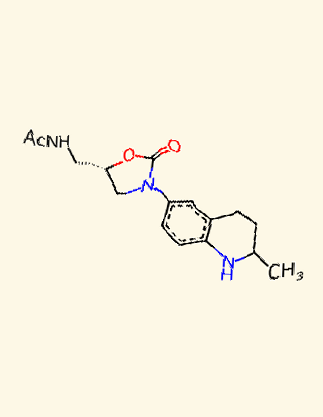 CC(=O)NC[C@H]1CN(c2ccc3c(c2)CCC(C)N3)C(=O)O1